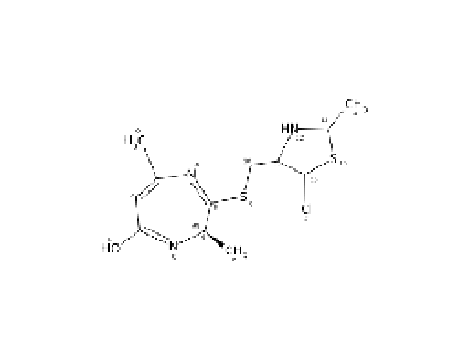 CC1=CC(O)=N[C@H](C)C(SCC2NC(C)SC2Cl)=N1